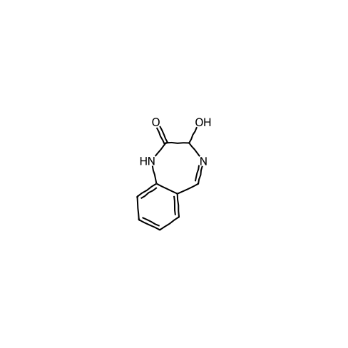 O=C1Nc2ccccc2C=NC1O